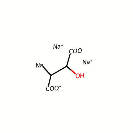 O=C([O-])C(O)[CH]([Na])C(=O)[O-].[Na+].[Na+]